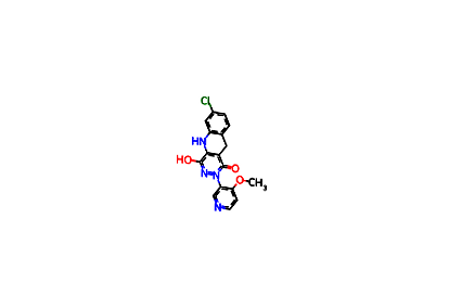 COc1ccncc1-n1nc(O)c2c(c1=O)Cc1ccc(Cl)cc1N2